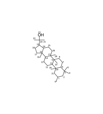 CC1CC(C)(C)C2CCC3(C)C(CCC4C5(C)CCC(C(C)(C)O)C5CCC43C)C2(C)C1